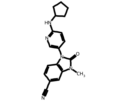 Cn1c(=O)n(-c2ccc(NC3CCCC3)nc2)c2ccc(C#N)cc21